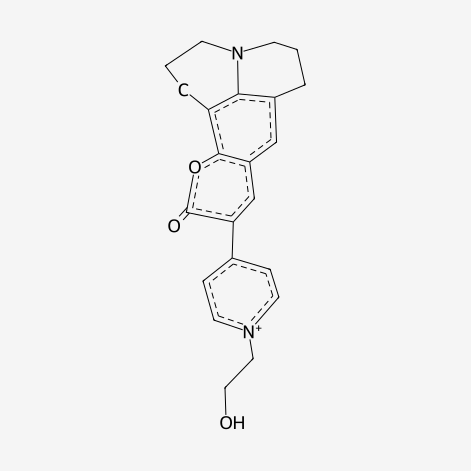 O=c1oc2c3c4c(cc2cc1-c1cc[n+](CCO)cc1)CCCN4CCC3